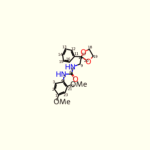 COc1ccc(NC(=O)NCC2(c3ccccc3)OCCO2)c(OC)c1